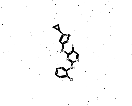 Fc1cnc(Nc2ccccc2Cl)nc1Nc1cc(C2CC2)[nH]n1